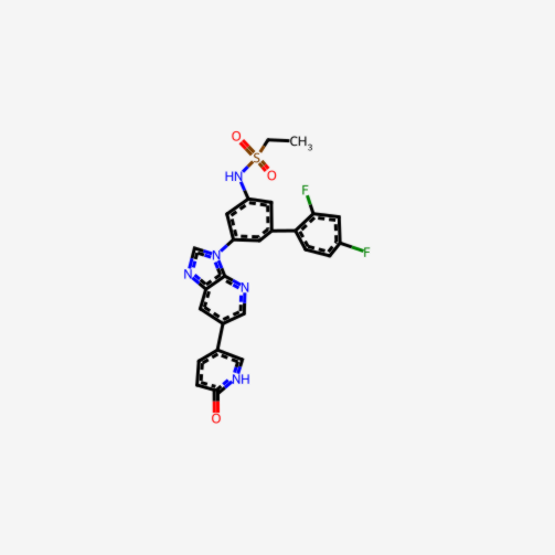 CCS(=O)(=O)Nc1cc(-c2ccc(F)cc2F)cc(-n2cnc3cc(-c4ccc(=O)[nH]c4)cnc32)c1